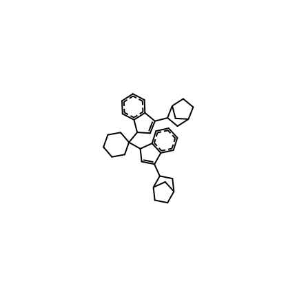 C1=C(C2CC3CCC2C3)c2ccccc2C1C1(C2C=C(C3CC4CCC3C4)c3ccccc32)CCCCC1